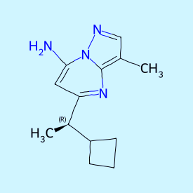 Cc1cnn2c(N)cc([C@H](C)C3CCC3)nc12